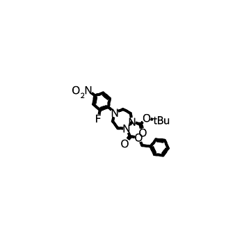 CC(C)(C)OC(=O)N1CCN(c2ccc([N+](=O)[O-])cc2F)CCN1C(=O)OCc1ccccc1